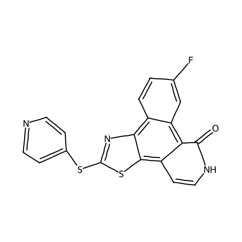 O=c1[nH]ccc2c3sc(Sc4ccncc4)nc3c3ccc(F)cc3c12